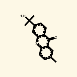 Cc1ccc2sc3cc(C(C)(C)N)ccc3c(=O)c2c1